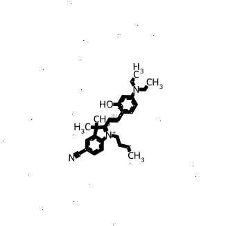 CCCC[N+]1=C(/C=C/c2ccc(N(CC)CC)cc2O)C(C)(C)c2cc(C#N)ccc21